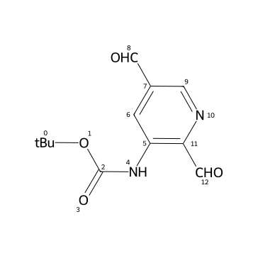 CC(C)(C)OC(=O)Nc1cc(C=O)cnc1C=O